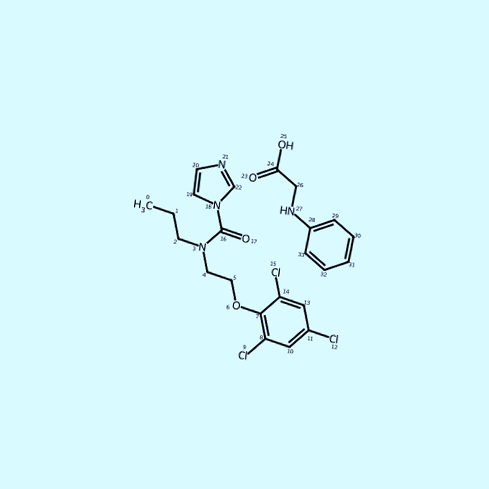 CCCN(CCOc1c(Cl)cc(Cl)cc1Cl)C(=O)n1ccnc1.O=C(O)CNc1ccccc1